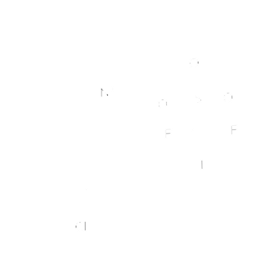 Cc1ccc2cc(Cl)ccc2[n+]1C.O=S(=O)([O-])C(F)(F)F